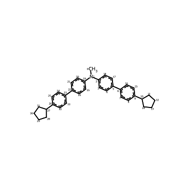 CN(c1ccc(-c2ccc(C3CCCC3)cc2)cc1)c1ccc(-c2ccc(C3CCCC3)cc2)cc1